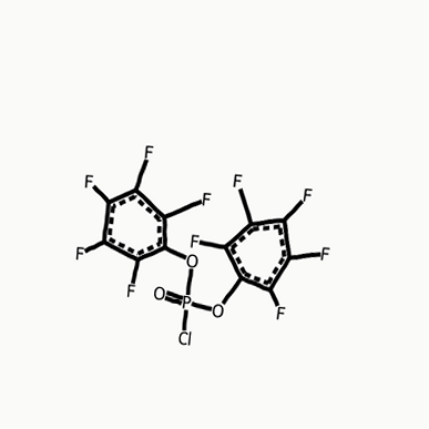 O=P(Cl)(Oc1c(F)c(F)c(F)c(F)c1F)Oc1c(F)c(F)c(F)c(F)c1F